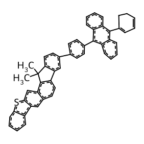 CC1(C)c2ccc(-c3ccc(-c4c5ccccc5c(C5=CC=CCC5)c5ccccc45)cc3)cc2-c2ccc3cc4c(cc3c21)sc1ccccc14